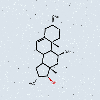 CC(=O)O[C@H]1CC[C@@]2(C)C(=CCC3C2[C@@H](OC(C)=O)C[C@@]2(C)C3C[C@@H](OC(C)=O)[C@@H]2O)C1